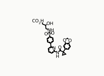 O=C(O)CC(O)CNS(=O)(=O)c1ccc(-c2cccc(NC(=O)C3(c4ccc5c(c4)OCO5)CC3)n2)cc1